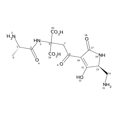 C[C@H](N)C(=O)NC(CC(=O)C1=C(O)[C@H](CN)NC1=O)(C(=O)O)C(=O)O